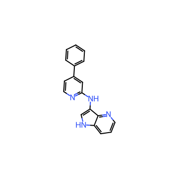 c1ccc(-c2ccnc(Nc3c[nH]c4cccnc34)c2)cc1